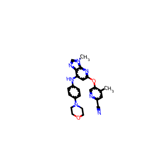 Cc1cc(C#N)ncc1Oc1cc(Nc2ccc(N3CCOCC3)cc2)c2ncn(C)c2n1